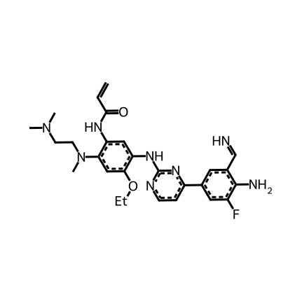 C=CC(=O)Nc1cc(Nc2nccc(-c3cc(F)c(N)c(C=N)c3)n2)c(OCC)cc1N(C)CCN(C)C